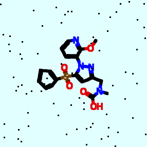 COc1ncccc1-n1nc(CN(C)C(=O)O)cc1S(=O)(=O)c1ccccc1